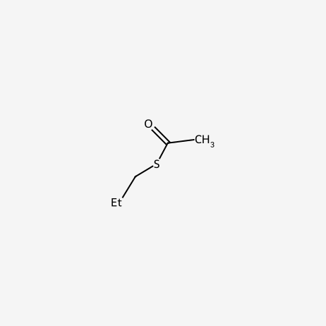 [CH2]CCSC(C)=O